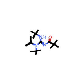 CC(C)N(/C(=N/C(=O)C(C)(C)C)NC(C)(C)C)C(C)(C)C